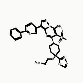 COCCO[C@]1(c2nnc[nH]2)CC[C@H](c2nc3c(-c4ccc(-c5ccccc5)nc4)cnn3c(N)c2S(C)(=O)=O)CC1